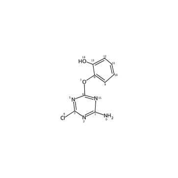 Nc1nc(Cl)nc(Oc2ccccc2O)n1